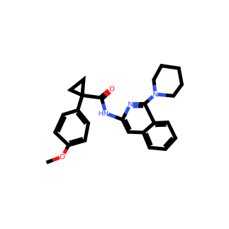 COc1ccc(C2(C(=O)Nc3cc4ccccc4c(N4CCCCC4)n3)CC2)cc1